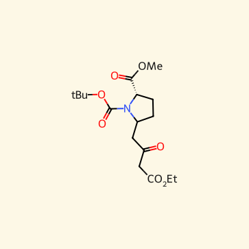 CCOC(=O)CC(=O)CC1CC[C@@H](C(=O)OC)N1C(=O)OC(C)(C)C